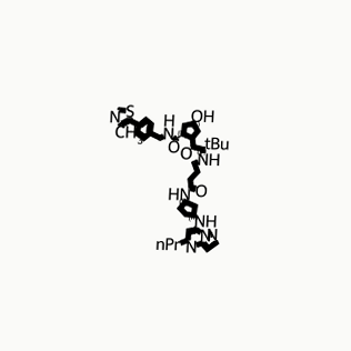 CCCc1cc(N[C@@H]2CC[C@@H](NC(=O)CCCN[C@H](C(=O)C3C[C@H](O)C[C@H]3C(=O)NCc3ccc(-c4scnc4C)cc3)C(C)(C)C)C2)n2nccc2n1